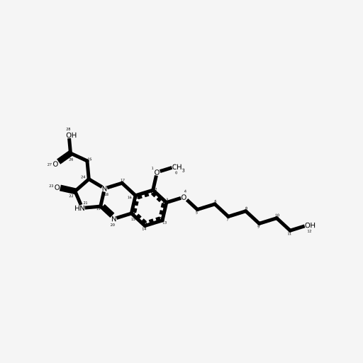 COc1c(OCCCCCCCO)ccc2c1CN1C(=N2)NC(=O)C1CC(=O)O